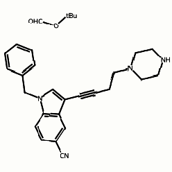 CC(C)(C)OC=O.N#Cc1ccc2c(c1)c(C#CCCN1CCNCC1)cn2Cc1ccccc1